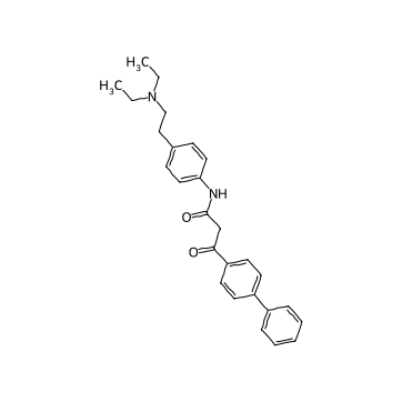 CCN(CC)CCc1ccc(NC(=O)CC(=O)c2ccc(-c3ccccc3)cc2)cc1